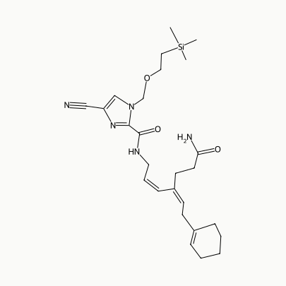 C[Si](C)(C)CCOCn1cc(C#N)nc1C(=O)NC/C=C\C(=C/CC1=CCCCC1)CCC(N)=O